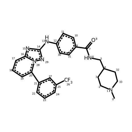 CN1CCC(CNC(=O)c2ccc(Nc3nc4cccc(-c5cccc(C(F)(F)F)c5)n4n3)cc2)CC1